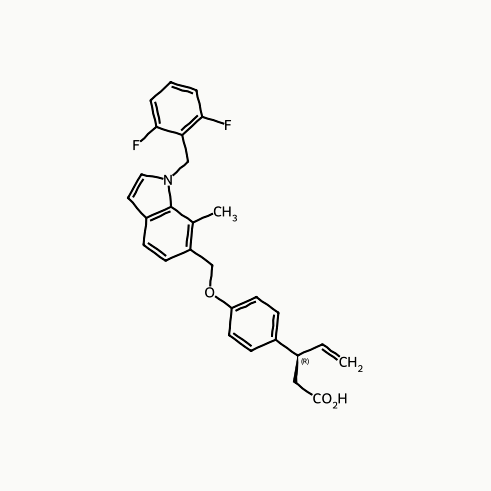 C=C[C@@H](CC(=O)O)c1ccc(OCc2ccc3ccn(Cc4c(F)cccc4F)c3c2C)cc1